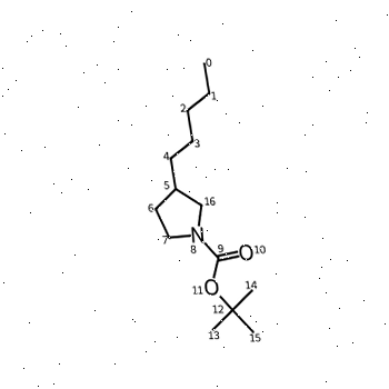 CCCCCC1CCN(C(=O)OC(C)(C)C)C1